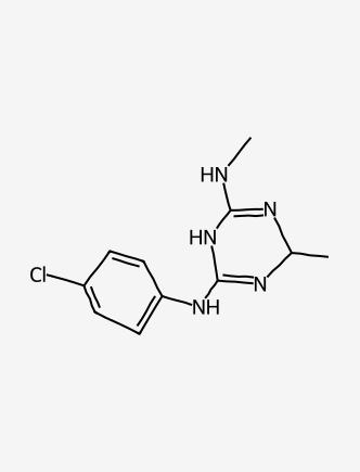 CNC1=NC(C)N=C(Nc2ccc(Cl)cc2)N1